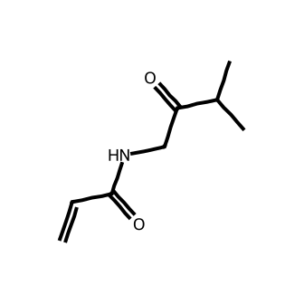 C=CC(=O)NCC(=O)C(C)C